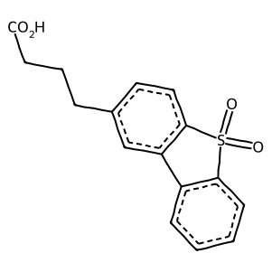 O=C(O)CCCc1ccc2c(c1)-c1ccccc1S2(=O)=O